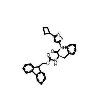 O=C(N[C@H](Cc1ccccc1)C(=O)Nc1cc(C2CCC2)ns1)OCC1c2ccccc2-c2ccccc21